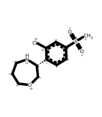 CS(=O)(=O)c1ccc([C@@H]2COCCCN2)c(Cl)c1